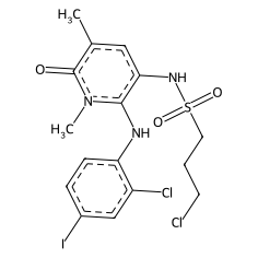 Cc1cc(NS(=O)(=O)CCCCl)c(Nc2ccc(I)cc2Cl)n(C)c1=O